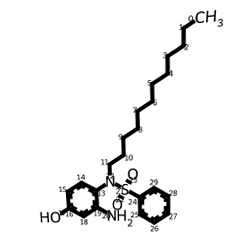 CCCCCCCCCCCCN(c1ccc(O)cc1N)S(=O)(=O)c1ccccc1